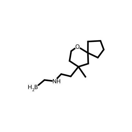 BCNCCC1(C)CCOC2(CCCC2)C1